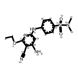 CCOc1nc(Nc2ccc(S(=O)(=O)N(C)C)cc2)cc(N)c1C#N